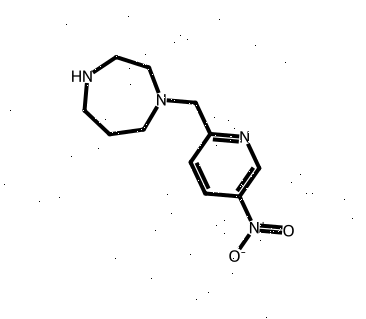 O=[N+]([O-])c1ccc(CN2CCCNCC2)nc1